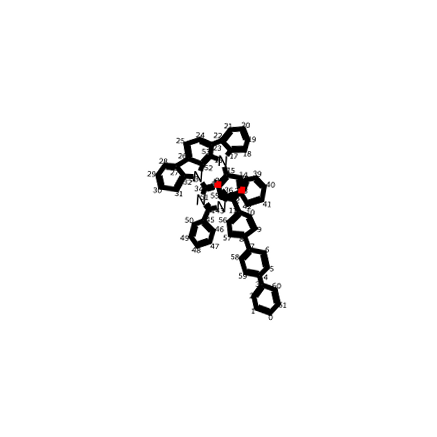 c1ccc(-c2ccc(-c3ccc(-c4ccc(-n5c6ccccc6c6ccc7c8ccccc8n(-c8nc(-c9ccccc9)nc(-c9ccccc9)n8)c7c65)cc4)cc3)cc2)cc1